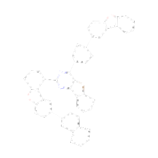 c1ccc2cc(-c3ccc4oc5cccc(-c6nc(-c7ccc(-c8ccc9oc%10ccccc%10c9c8)cc7)c7sc8ccccc8c7n6)c5c4c3)ccc2c1